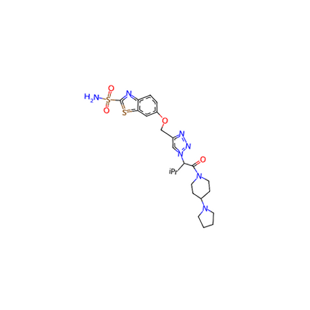 CC(C)C(C(=O)N1CCC(N2CCCC2)CC1)n1cc(COc2ccc3nc(S(N)(=O)=O)sc3c2)nn1